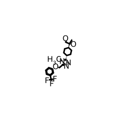 Cn1c(COc2cccc(C(F)(F)F)c2)nnc1[C@H]1CC[C@H](C2(C=O)CO2)CC1